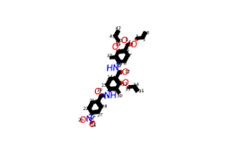 C=CCOC(=O)c1ccc(NC(=O)c2ccc(NC(=O)c3ccc([N+](=O)[O-])cc3)c(C)c2OCC=C)c(C)c1OCC=C